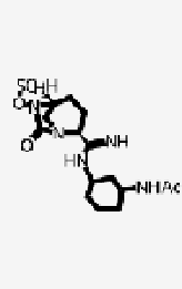 CC(=O)NC1CCCC(NC(=N)[C@@H]2CC[C@@H]3CN2C(=O)N3OS(=O)(=O)O)C1